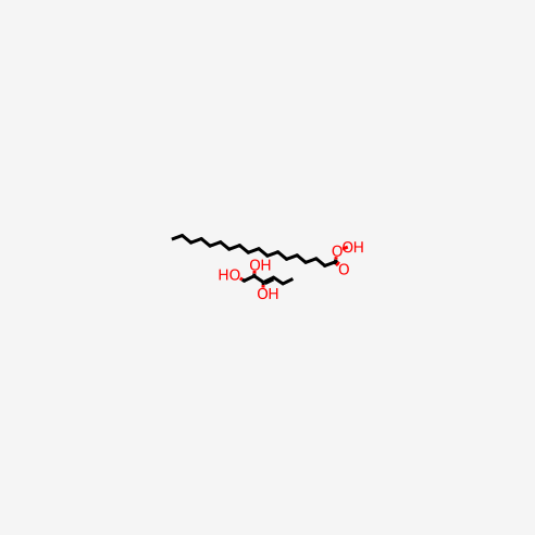 CCC=C(O)C(O)CO.CCCCCCCCCCCCCCCCCC(=O)OO